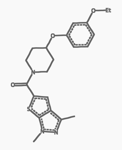 CCOc1cccc(OC2CCN(C(=O)c3cc4c(C)nn(C)c4s3)CC2)c1